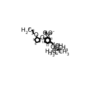 C=CCO[C@H]1CCC[C@@H]1Oc1ccc(CO[Si](C)(C)C(C)(C)C)cc1[N+](=O)[O-]